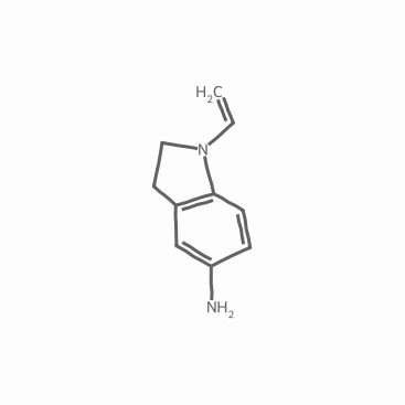 C=CN1CCc2cc(N)ccc21